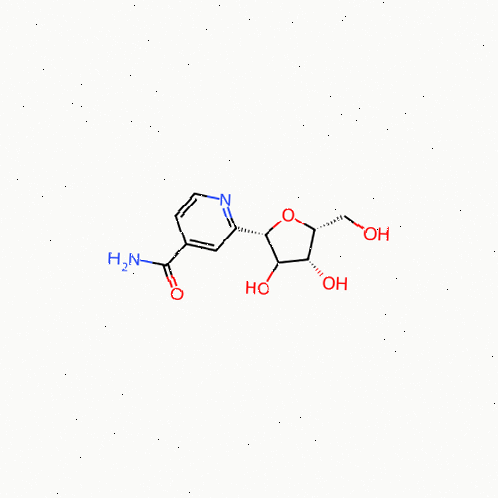 NC(=O)c1ccnc([C@@H]2O[C@H](CO)[C@H](O)C2O)c1